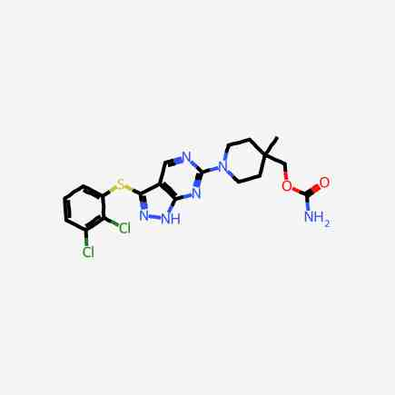 CC1(COC(N)=O)CCN(c2ncc3c(Sc4cccc(Cl)c4Cl)n[nH]c3n2)CC1